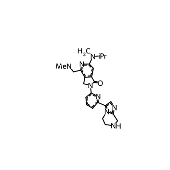 CNCc1nc(N(C)C(C)C)cc2c1CN(c1cccc(-c3cnc4n3CCNC4)n1)C2=O